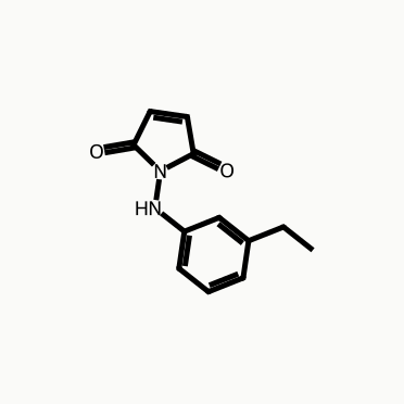 CCc1cccc(NN2C(=O)C=CC2=O)c1